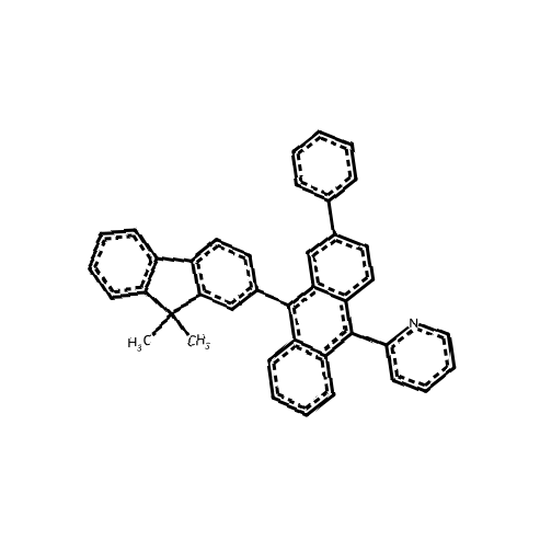 CC1(C)c2ccccc2-c2ccc(-c3c4ccccc4c(-c4ccccn4)c4ccc(-c5ccccc5)cc34)cc21